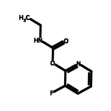 CCNC(=O)Oc1ncccc1F